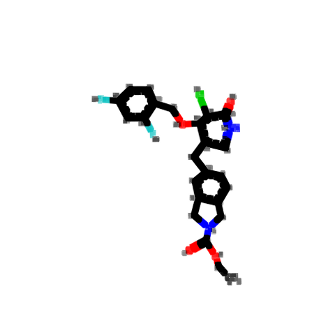 O=C(OCC(Cl)(Cl)Cl)N1Cc2ccc(Cc3c[nH]c(=O)c(Cl)c3OCc3ccc(F)cc3F)cc2C1